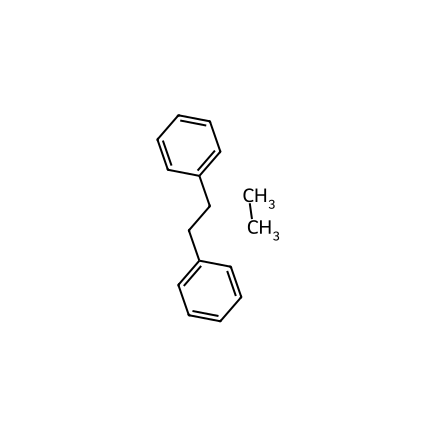 CC.c1ccc(CCc2ccccc2)cc1